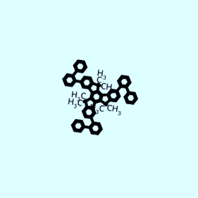 CC1(C)c2ccc(-c3ccccc3-c3ccccc3)cc2-c2c1c1c(c3c2C(C)(C)c2ccc(-c4ccccc4-c4ccccc4)cc2-3)C(C)(C)c2ccc(-c3ccccc3-c3ccccc3)cc2-1